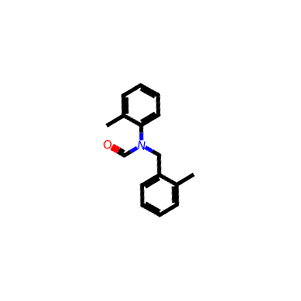 Cc1ccccc1CN(C=O)c1ccccc1C